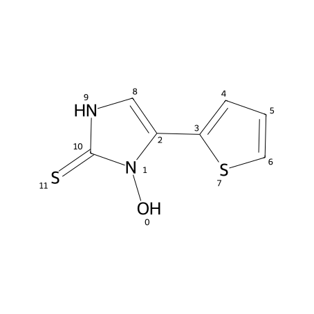 On1c(-c2cccs2)c[nH]c1=S